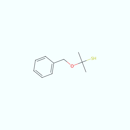 CC(C)(S)OCc1ccccc1